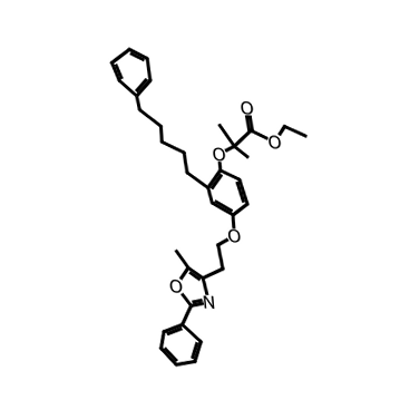 CCOC(=O)C(C)(C)Oc1ccc(OCCc2nc(-c3ccccc3)oc2C)cc1CCCCCc1ccccc1